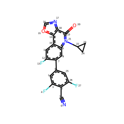 N#Cc1c(F)cc(-c2cc3c(cc2F)c2ocnc2c(=O)n3C2CC2)cc1F